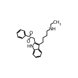 CCNCCCCc1c(CS(=O)(=O)c2ccccc2)[nH]c2ccccc12